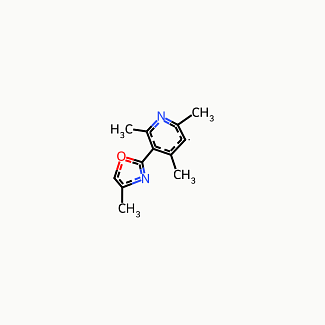 Cc1[c]c(C)c(-c2nc(C)co2)c(C)n1